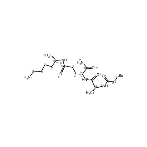 C[C@H](NC(=O)OC(C)(C)C)C(=O)N[C@H](CCC(=O)N[C@@H](CCCCN)C(=O)O)C(N)=O